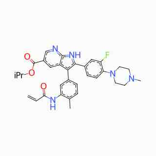 C=CC(=O)Nc1cc(-c2c(-c3ccc(N4CCN(C)CC4)c(F)c3)[nH]c3ncc(C(=O)OC(C)C)cc23)ccc1C